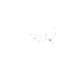 COc1cccc2c1C(=O)N([C@@H]1CC[C@@]3(O)[C@H]4Cc5ccc(O)c6c5[C@@]3(CCN4CC3CC3)[C@H]1O6)C2=O